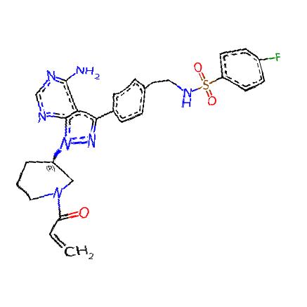 C=CC(=O)N1CCC[C@@H](n2nc(-c3ccc(CNS(=O)(=O)c4ccc(F)cc4)cc3)c3c(N)ncnc32)C1